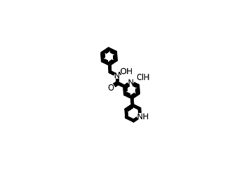 Cl.O=C(c1cc(C2=CCCNC2)ccn1)N(O)Cc1ccccc1